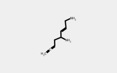 C=C=CCC(N)C=CCN